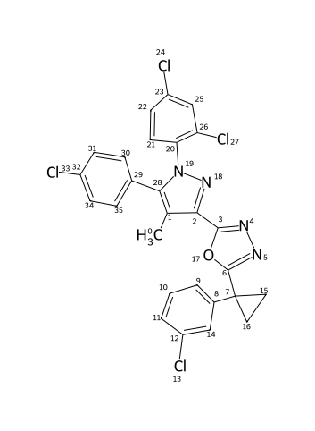 Cc1c(-c2nnc(C3(c4cccc(Cl)c4)CC3)o2)nn(-c2ccc(Cl)cc2Cl)c1-c1ccc(Cl)cc1